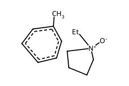 CC[N+]1([O-])CCCC1.Cc1ccccc1